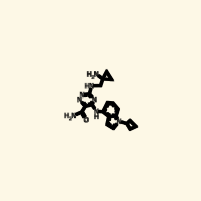 NC(=O)c1nnc(NCC2(N)CC2)nc1Nc1cccc2c1ccn2C1CCC1